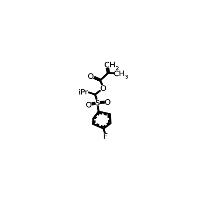 C=C(C)C(=O)OC(C(C)C)S(=O)(=O)c1ccc(F)cc1